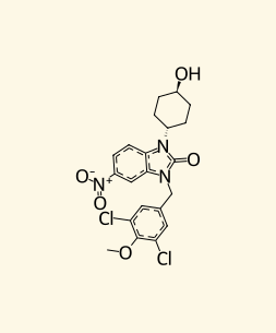 COc1c(Cl)cc(Cn2c(=O)n([C@H]3CC[C@H](O)CC3)c3ccc([N+](=O)[O-])cc32)cc1Cl